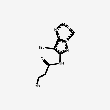 CC(C)(C)CCC(=O)Nc1nn2cccnc2c1C(C)(C)C